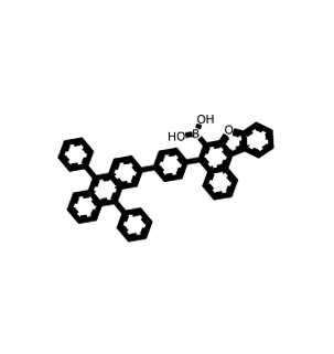 OB(O)c1c(-c2ccc(-c3ccc4c(-c5ccccc5)c5ccccc5c(-c5ccccc5)c4c3)cc2)c2ccccc2c2c1oc1ccccc12